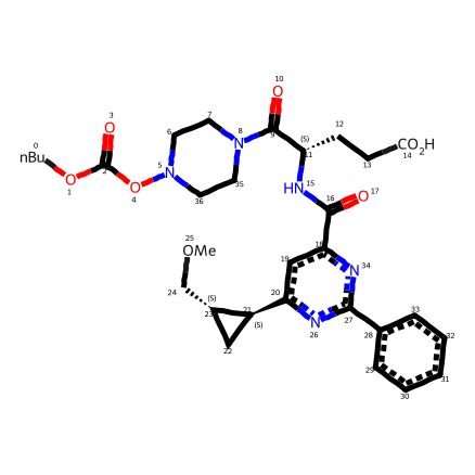 CCCCOC(=O)ON1CCN(C(=O)[C@H](CCC(=O)O)NC(=O)c2cc([C@H]3C[C@@H]3COC)nc(-c3ccccc3)n2)CC1